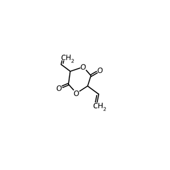 C=CC1OC(=O)C(C=C)OC1=O